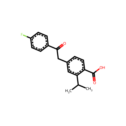 CC(C)c1cc(CC(=O)c2ccc(F)cc2)ccc1C(=O)O